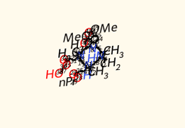 C=CC1=C(C)c2cc3[nH]c(cc4nc(cc5[nH]c(cc1n2)c(C)c5CCC(=O)OCCC)C(CCC(=O)OCCO)=C4C)C1(C)C3=CC=C(C(=O)OC)C1C(=O)OC